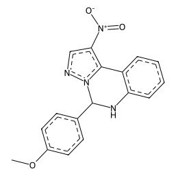 COc1ccc(C2Nc3ccccc3-c3c([N+](=O)[O-])cnn32)cc1